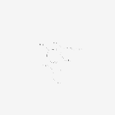 O=C([O-])CC(O)C(=O)[O-].O=C([O-])CC(O)C(=O)[O-].O=C([O-])CC(O)C(=O)[O-].[Ru+3].[Ru+3]